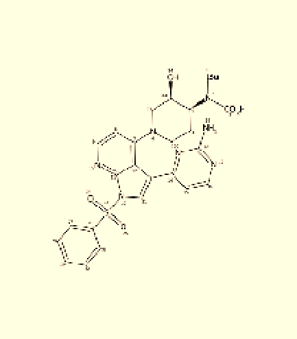 CC(C)(C)N(C(=O)O)[C@H]1CCN(c2ccnc3c2c(-c2ccnc(N)n2)cn3S(=O)(=O)c2ccccc2)C[C@H]1O